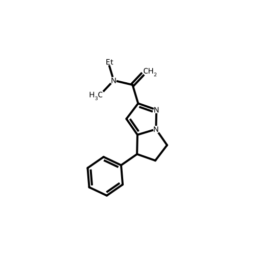 C=C(c1cc2n(n1)CCC2c1ccccc1)N(C)CC